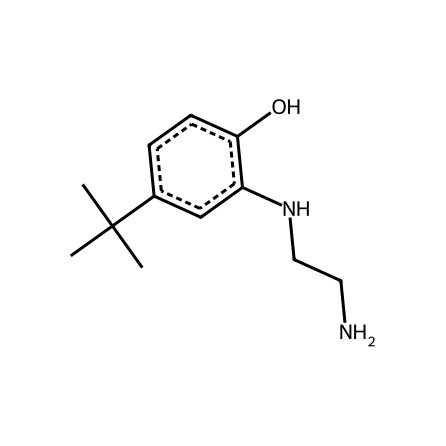 CC(C)(C)c1ccc(O)c(NCCN)c1